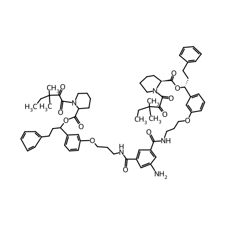 CCC(C)(C)C(=O)C(=O)N1CCCCC1C(=O)OC(CCc1ccccc1)c1cccc(OCCCNC(=O)c2cc(N)cc(C(=O)NCCCOc3cccc([C@@H](CCc4ccccc4)OC(=O)[C@@H]4CCCCN4C(=O)C(=O)C(C)(C)CC)c3)c2)c1